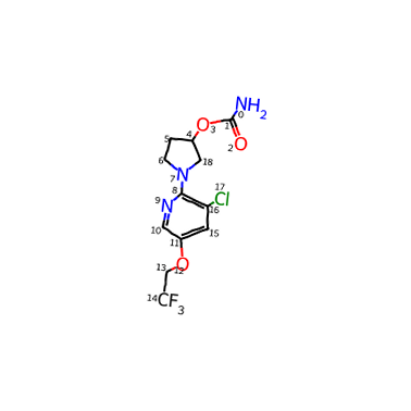 NC(=O)OC1CCN(c2ncc(OCC(F)(F)F)cc2Cl)C1